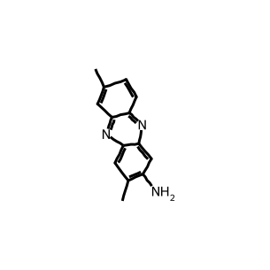 Cc1ccc2nc3cc(N)c(C)cc3nc2c1